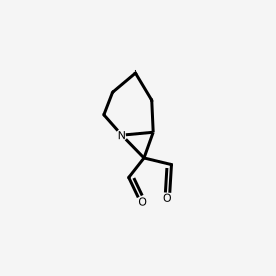 O=CC1(C=O)C2C[CH]CCN21